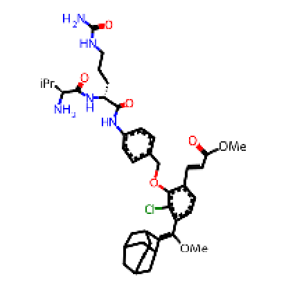 COC(=O)/C=C/c1ccc(C(OC)=C2C3CC4CC(C3)CC2C4)c(Cl)c1OCc1ccc(NC(=O)[C@@H](CCCNC(N)=O)NC(=O)[C@@H](N)C(C)C)cc1